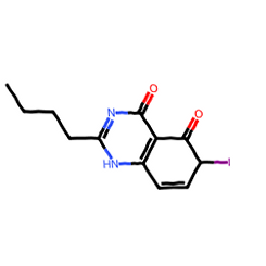 CCCCc1nc(=O)c2c([nH]1)C=CC(I)C2=O